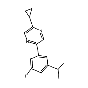 CC(C)c1cc(F)cc(-c2cnc(C3CC3)cn2)c1